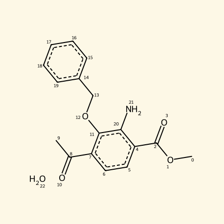 COC(=O)c1ccc(C(C)=O)c(OCc2ccccc2)c1N.O